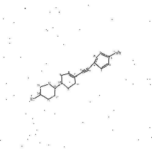 CCCc1ccc(C#CC2=CCC(C3CCC(CC)CC3)CC2)cc1